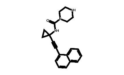 O=C(NC1(C#Cc2cccc3ccccc23)CC1)N1CCNCC1